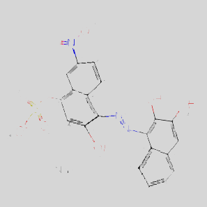 O=[N+]([O-])c1ccc2c(N=Nc3c(O)c(O)cc4ccccc34)c(O)cc(OS(=O)(=O)[O-])c2c1.[Na+]